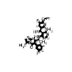 Cc1csc2nc([C@H](C)Nc3ncnc(N)c3C(=N)c3cnc(OC(C)C)c(F)c3)c(-c3cccc(F)c3)c(=O)n12